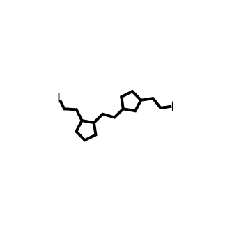 ICCC1CCC(CCC2CCCC2CCI)C1